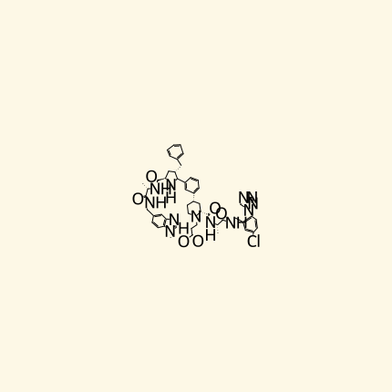 C[C@H](NC(=O)[C@H]1C[C@@H](c2cccc(C3N[C@@H](C(=O)N[C@@H](C)C(=O)NCc4ccc5c(c4)ncn5C)C[C@@H]3Cc3ccccc3)c2)CCN1CCC(=O)O)C(=O)NCc1cc(Cl)ccc1-n1cnnn1